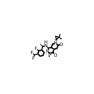 C[C@@H](Nc1nn(C)c(=O)c2cc(=O)n([C@@H]3CC3(C)C)cc12)c1cccc(C(F)F)c1F